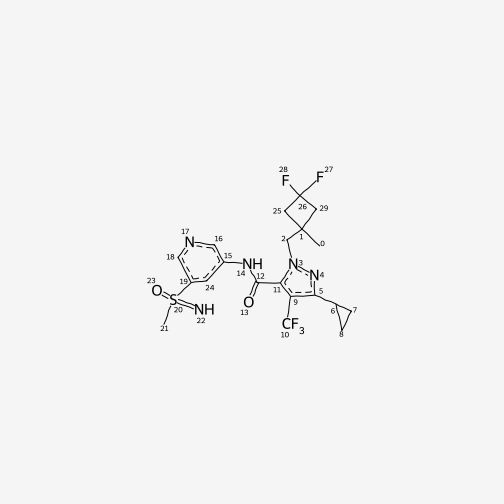 CC1(Cn2nc(C3CC3)c(C(F)(F)F)c2C(=O)Nc2cncc(S(C)(=N)=O)c2)CC(F)(F)C1